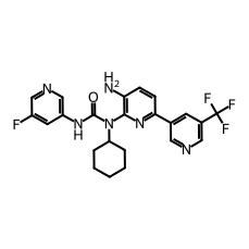 Nc1ccc(-c2cncc(C(F)(F)F)c2)nc1N(C(=O)Nc1cncc(F)c1)C1CCCCC1